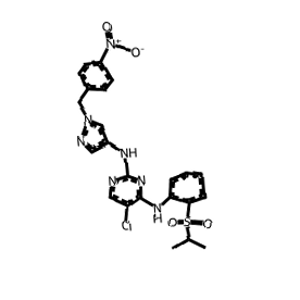 CC(C)S(=O)(=O)c1ccccc1Nc1nc(Nc2cnn(Cc3ccc([N+](=O)[O-])cc3)c2)ncc1Cl